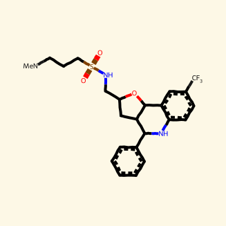 CNCCCS(=O)(=O)NCC1CC2C(c3ccccc3)Nc3ccc(C(F)(F)F)cc3C2O1